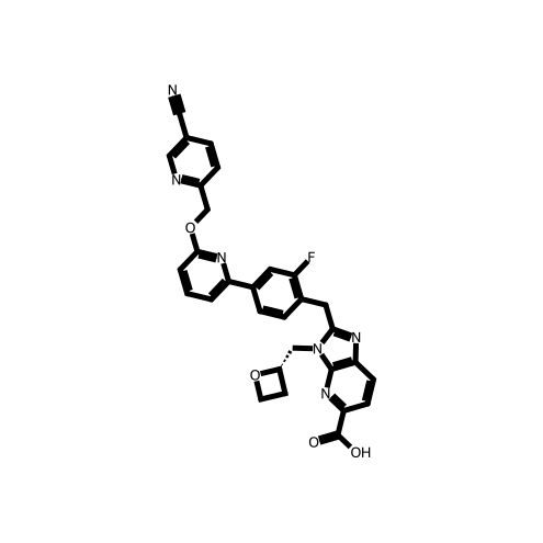 N#Cc1ccc(COc2cccc(-c3ccc(Cc4nc5ccc(C(=O)O)nc5n4C[C@@H]4CCO4)c(F)c3)n2)nc1